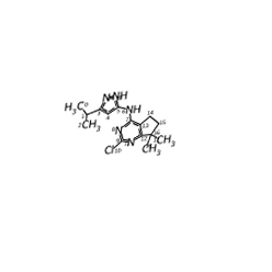 CC(C)c1cc(Nc2nc(Cl)nc3c2CCC3(C)C)[nH]n1